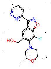 C[C@@H]1CN(c2c(CO)cc3c(-c4cccnn4)noc3c2F)C[C@H](C)O1